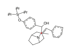 CC(C(O)c1ccc(O[Si](C(C)C)(C(C)C)C(C)C)cc1)N1C2CCC1CC(=Cc1ccccc1)C2